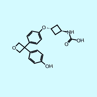 O=C(O)N[C@H]1C[C@H](Oc2ccc(C3(c4ccc(O)cc4)COC3)cc2)C1